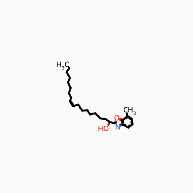 CCCCCCCC/C=C\CCCCCCCC(O)c1nc2cccc(C)c2o1